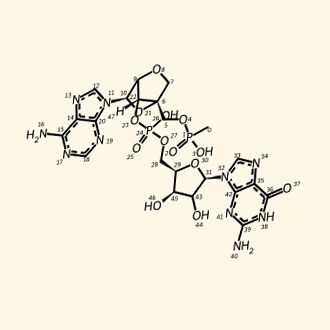 CP(=O)(O)OC[C@@]12COC([C@H](n3cnc4c(N)ncnc43)O1)[C@H]2OP(=O)(O)OC[C@H]1O[C@@H](n2cnc3c(=O)[nH]c(N)nc32)C(O)[C@H]1O